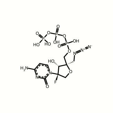 [N-]=[N+]=NC[C@]1(COP(=O)(O)OP(=O)(O)OP(=O)(O)O)OC[C@](F)(n2ccc(N)nc2=O)[C@@H]1O